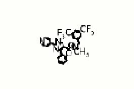 CN(Cc1cc(C(F)(F)F)cc(C(F)(F)F)c1)OC(=O)c1cnc(-c2ccncc2)nc1-c1ccccc1